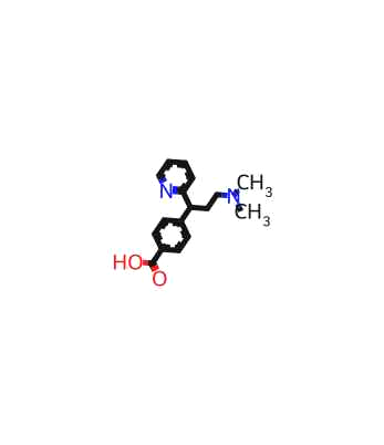 CN(C)CCC(c1ccc(C(=O)O)cc1)c1ccccn1